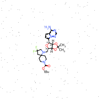 CC(C)(C)OC(=O)N1CCC2(CC1)CC(F)(F)CN2C[C@H]1O[C@@H](c2ccc3c(N)ncnn23)[C@@H]2OC(C)(C)O[C@@H]21